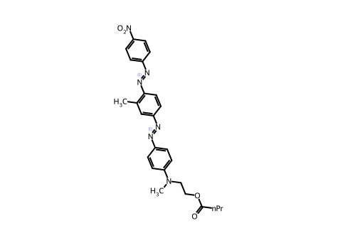 CCCC(=O)OCCN(C)c1ccc(/N=N/c2ccc(/N=N/c3ccc([N+](=O)[O-])cc3)c(C)c2)cc1